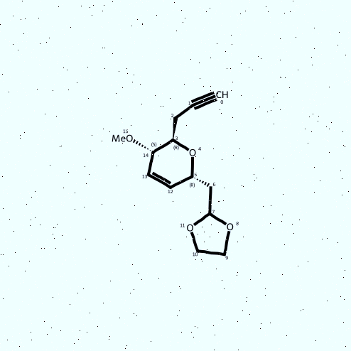 C#CC[C@H]1O[C@H](CC2OCCO2)C=C[C@@H]1OC